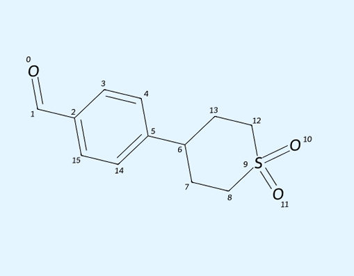 O=Cc1ccc(C2CCS(=O)(=O)CC2)cc1